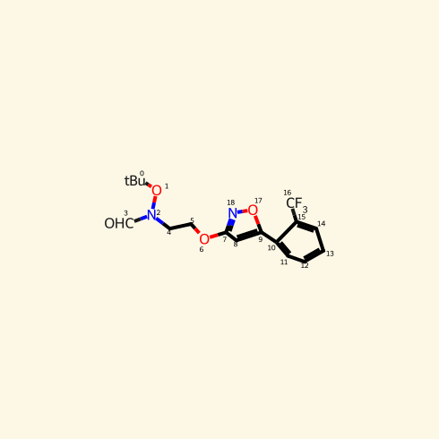 CC(C)(C)ON(C=O)CCOc1cc(-c2ccccc2C(F)(F)F)on1